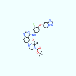 CC(C)(C)OC(=O)N1CCN2C[C@@H]1COc1c2ccc2ncnc(Nc3ccc(Oc4ccn5ncnc5c4)c(F)c3)c12